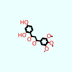 COc1cc(C(=O)CC(=O)c2ccc(O)cc2O)cc(OC)c1OC